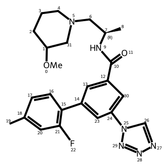 COC1CCCN(C[C@@H](C)NC(=O)c2cc(-c3ccc(C)cc3F)cc(-n3cnnn3)c2)C1